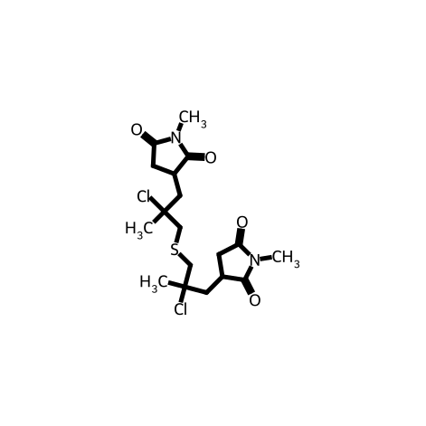 CN1C(=O)CC(CC(C)(Cl)CSCC(C)(Cl)CC2CC(=O)N(C)C2=O)C1=O